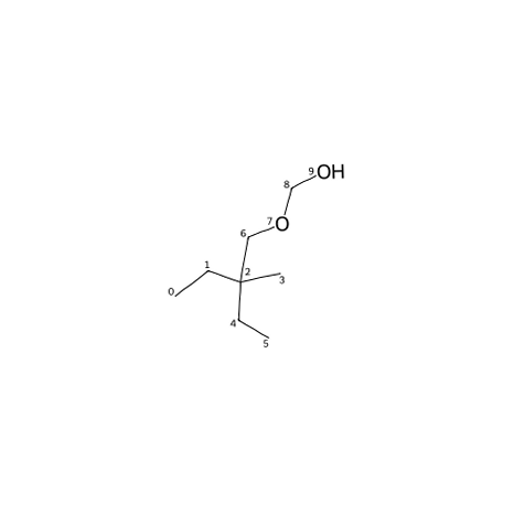 CCC(C)(CC)COCO